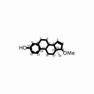 COC1C=CC2C3CCc4cc(O)ccc4C3CC[C@]12C